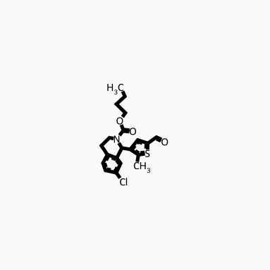 CCCCOC(=O)N1CCc2ccc(Cl)cc2C1c1cc(C=O)sc1C